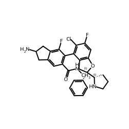 CNC(=O)c1cc2c(c(F)c1-c1c(Cl)c(F)cc3c1C[C@](c1ccccc1)([C@@H]1CCCN1)O3)CC(N)C2